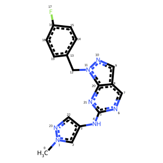 Cn1cc(Nc2ncc3cnn(Cc4ccc(F)cc4)c3n2)cn1